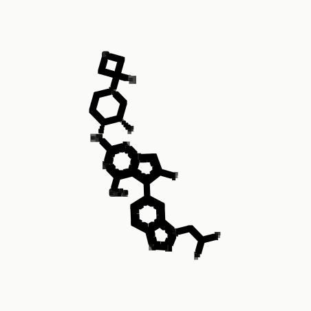 [2H]C1(N2CC[C@@H](Nc3nc(OC)c4c(-c5ccc6nnn(CC(F)F)c6c5)c(F)cn4n3)[C@@H](F)C2)COC1